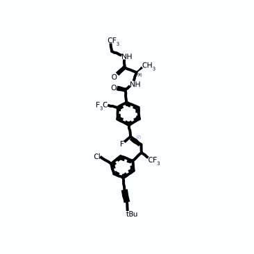 C[C@@H](NC(=O)c1ccc(/C(F)=C/C(c2cc(Cl)cc(C#CC(C)(C)C)c2)C(F)(F)F)cc1C(F)(F)F)C(=O)NCC(F)(F)F